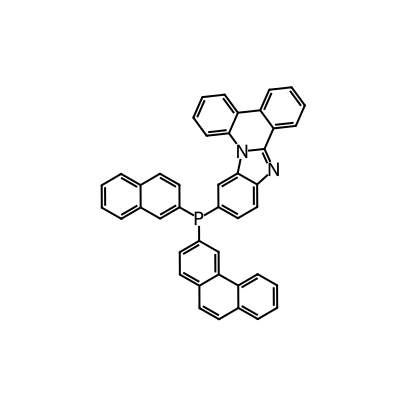 c1ccc2cc(P(c3ccc4ccc5ccccc5c4c3)c3ccc4nc5c6ccccc6c6ccccc6n5c4c3)ccc2c1